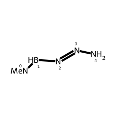 CNBN=NN